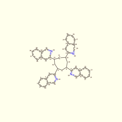 c1ccc2cc(C3CC(c4cc5ccccc5cn4)CC(c4cc5ccccc5cn4)CC(c4cc5ccccc5cn4)C3)ncc2c1